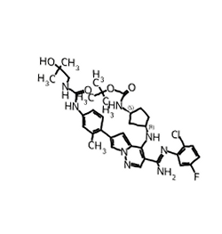 Cc1cc(NC(=O)NCC(C)(C)O)ccc1-c1cc2c(N[C@@H]3CC[C@H](NC(=O)OC(C)(C)C)C3)c(C(N)=Nc3cc(F)ccc3Cl)cnn2c1